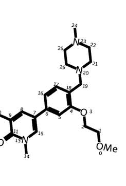 COCCOc1cc(-c2cc(C)c(=O)n(C)c2)ccc1CN1CCN(C)CC1